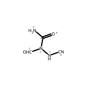 N#CNN(C=O)C(N)=O